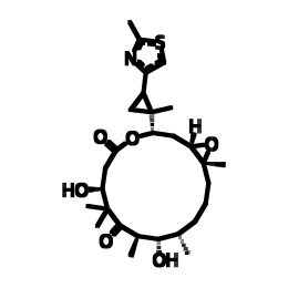 Cc1nc(C2CC2(C)[C@@H]2C[C@@H]3O[C@]3(C)CCC[C@H](C)[C@H](O)[C@@H](C)C(=O)C(C)(C)[C@@H](O)CC(=O)O2)cs1